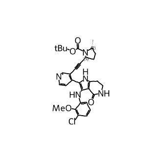 COc1c(Cl)cccc1Nc1c(-c2ccncc2C#C[C@@H]2CC[C@@H](C)N2C(=O)OC(C)(C)C)[nH]c2c1C(=O)NCC2